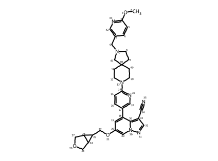 COc1ccc(CN2CCC3(CCN(c4ccc(-c5cc(OCC6C7COCC76)cn6ncc(C#N)c56)cn4)CC3)C2)cn1